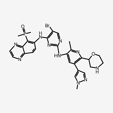 Cc1nc(C2CNCCO2)c(-c2cnn(C)c2)cc1Nc1ncc(Br)c(Nc2ccc3nccnc3c2P(C)(C)=O)n1